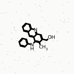 Cc1c(CO)cc2nc3ccccc3cc2c1Nc1ccccc1